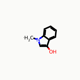 [CH2]n1cc(O)c2ccccc21